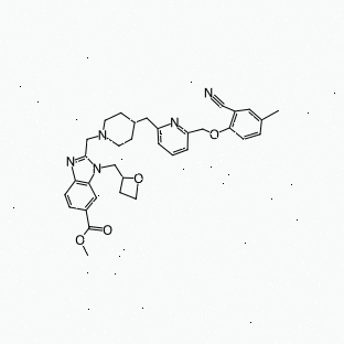 COC(=O)c1ccc2nc(CN3CCC(Cc4cccc(COc5ccc(C)cc5C#N)n4)CC3)n(CC3CCO3)c2c1